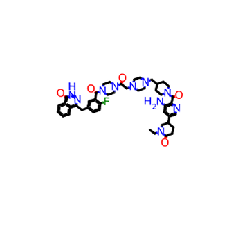 CCN1CC(c2cnc(C(=O)N3CCC(CN4CCN(CC(=O)N5CCN(C(=O)c6cc(Cc7n[nH]c(=O)c8ccccc78)ccc6F)CC5)CC4)CC3)c(N)c2)CCC1=O